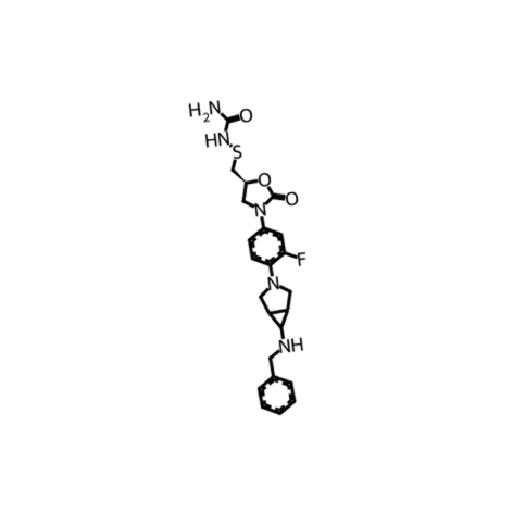 NC(=O)NSC[C@@H]1CN(c2ccc(N3CC4C(C3)C4NCc3ccccc3)c(F)c2)C(=O)O1